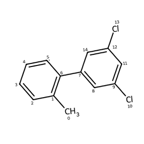 Cc1ccc[c]c1-c1cc(Cl)cc(Cl)c1